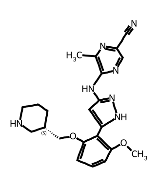 COc1cccc(OC[C@H]2CCCNC2)c1-c1cc(Nc2ncc(C#N)nc2C)n[nH]1